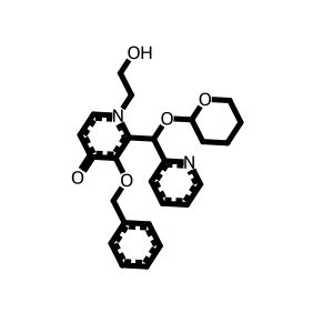 O=c1ccn(CCO)c(C(OC2CCCCO2)c2ccccn2)c1OCc1ccccc1